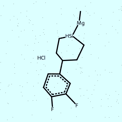 Cl.[CH3][Mg][SiH]1CCC(c2ccc(F)c(F)c2)CC1